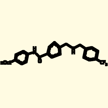 CCCCCCCCc1ccc(NC(=O)c2ccc(CNCc3ccc(C(F)(F)F)cc3)cc2)cc1